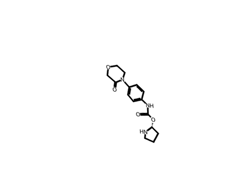 O=C(Nc1ccc(N2CCOCC2=O)cc1)O[C@@H]1CCCN1